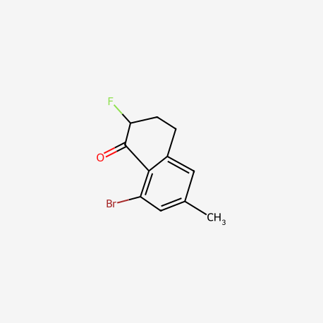 Cc1cc(Br)c2c(c1)CCC(F)C2=O